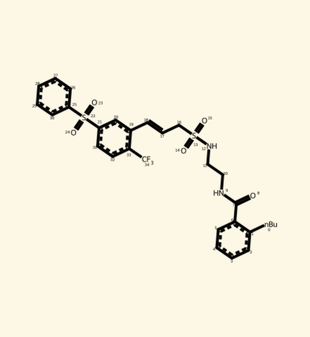 CCCCc1ccccc1C(=O)NCCNS(=O)(=O)CC=Cc1cc(S(=O)(=O)c2ccccc2)ccc1C(F)(F)F